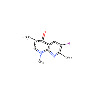 COc1nc2c(cc1I)c(=O)c(C(=O)O)cn2C